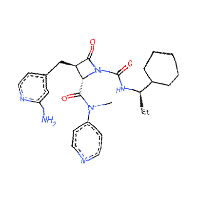 CC[C@@H](NC(=O)N1C(=O)[C@H](Cc2ccnc(N)c2)[C@H]1C(=O)N(C)c1ccncc1)C1CCCCC1